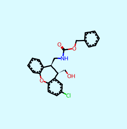 O=C(NC[C@@H]1c2ccccc2Oc2ccc(Cl)cc2[C@H]1CO)OCc1ccccc1